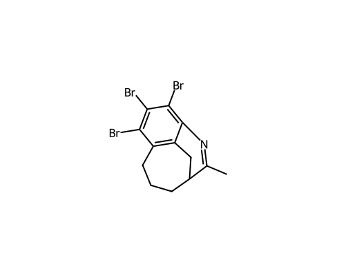 CC1=Nc2c(Br)c(Br)c(Br)c3c2CC1CCC3